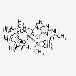 CC[Si](C#C[C@@]12CO[Si](C(C)C)(C(C)C)O[Si](C(C)C)(C(C)C)O[C@H]1CC(n1cnc3nc(NC(C)=O)nc(Cl)c31)S2)(CC)CC